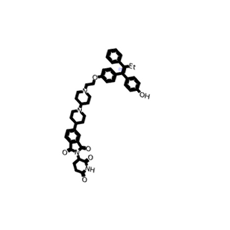 CC/C(=C(\c1ccc(O)cc1)c1ccc(OCCN2CCC(N3CCC(c4ccc5c(c4)C(=O)N(C4CCC(=O)NC4=O)C5=O)CC3)CC2)cc1)c1ccccc1